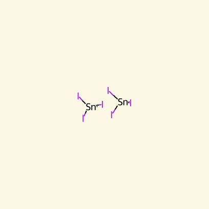 [I][Sn]([I])[I].[I][Sn]([I])[I]